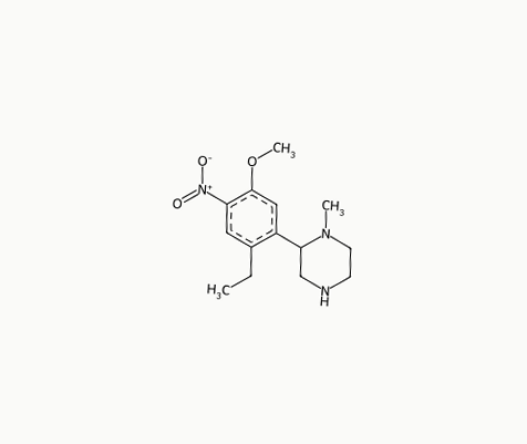 CCc1cc([N+](=O)[O-])c(OC)cc1C1CNCCN1C